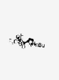 CCCCn1ccc(C(=O)NS(=O)(=O)C(F)(F)F)n1